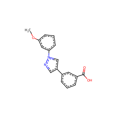 COc1cccc(-n2cc(-c3cccc(C(=O)O)c3)cn2)c1